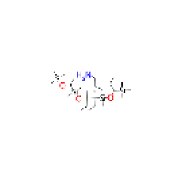 CCC(O[Si](C)(CCCN)[C@](C)(CC)C(C)(CC)O[Si](C)(C)C(C)O[Si](C)(C)C)[Si](C)(C)C